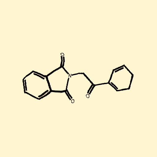 O=C(CN1C(=O)c2ccccc2C1=O)C1=CCCC=C1